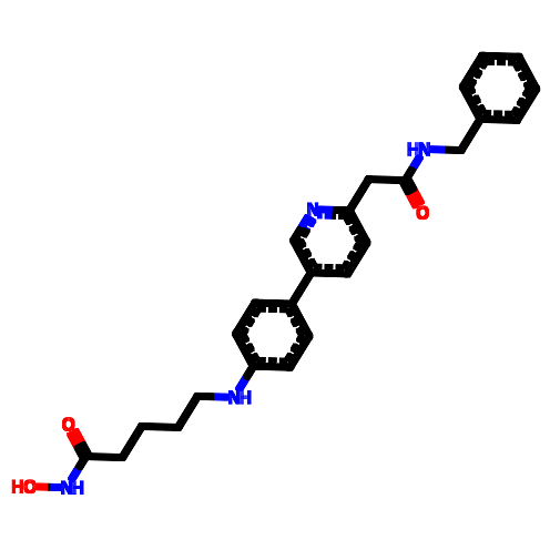 O=C(CCCCNc1ccc(-c2ccc(CC(=O)NCc3ccccc3)nc2)cc1)NO